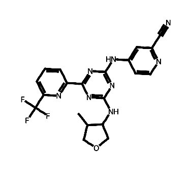 CC1COCC1Nc1nc(Nc2ccnc(C#N)c2)nc(-c2cccc(C(F)(F)F)n2)n1